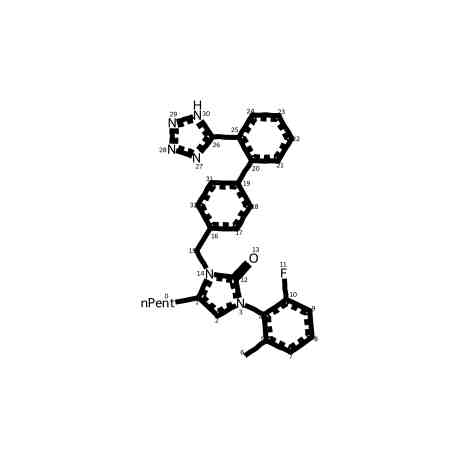 CCCCCc1cn(-c2c(C)cccc2F)c(=O)n1Cc1ccc(-c2ccccc2-c2nnn[nH]2)cc1